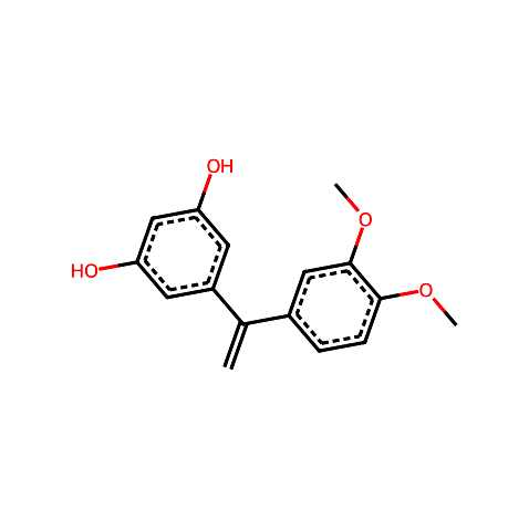 C=C(c1cc(O)cc(O)c1)c1ccc(OC)c(OC)c1